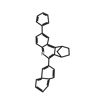 c1ccc(-c2ccc3nc(-c4ccc5ccccc5c4)c4c(c3c2)C2CCC4C2)cc1